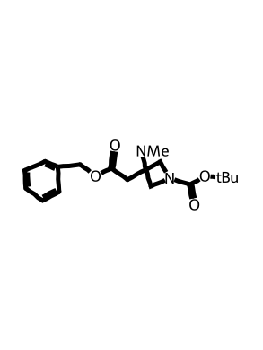 CNC1(CC(=O)OCc2ccccc2)CN(C(=O)OC(C)(C)C)C1